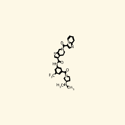 CN(C)[C@@H]1CCN(C(=O)c2cc(NC(=O)c3csc4c3CCN(C(=O)c3cnc5ccccn35)C4)cc(C(F)(F)F)c2)C1